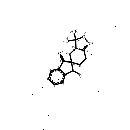 O=C1c2ccccc2C(Br)C12CCC1=NOC(O)(C(F)(F)F)C1C2